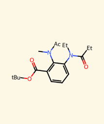 CCC(=O)N(CC)c1cccc(C(=O)OC(C)(C)C)c1N(C)C(C)=O